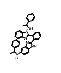 CC(Nc1ccc2[nH]c(-c3ccccc3-c3nc4ccccc4n3NC(C)c3ccccc3)nc2c1)c1ccccc1